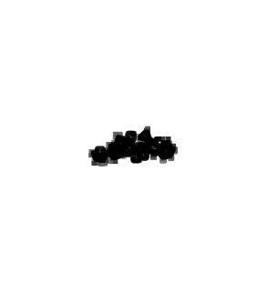 C[C@@H](C1CC1)N(Cc1ccccc1)C(=O)CN1C(=O)NC2(CCc3cc(-c4ccco4)ccc32)C1=O